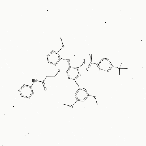 COc1cc(OC)cc(-c2nc(NS(=O)(=O)c3ccc(C(C)(C)C)cc3)c(Oc3ccccc3OC)c(OCCC(=O)Nc3ccccn3)n2)c1